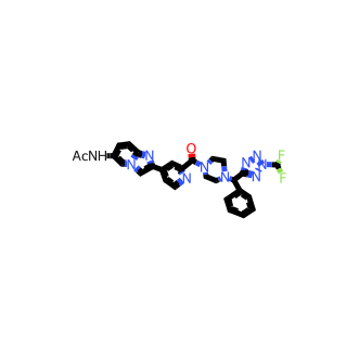 CC(=O)Nc1ccc2nc(-c3ccnc(C(=O)N4CCN(C(c5ccccc5)c5nnn(C(F)F)n5)CC4)c3)cn2c1